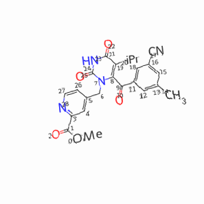 COC(=O)c1cc(Cn2c(C(=O)c3cc(C)cc(C#N)c3)c(C(C)C)c(=O)[nH]c2=O)ccn1